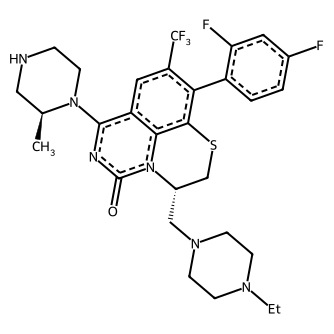 CCN1CCN(C[C@H]2CSc3c(-c4ccc(F)cc4F)c(C(F)(F)F)cc4c(N5CCNC[C@@H]5C)nc(=O)n2c34)CC1